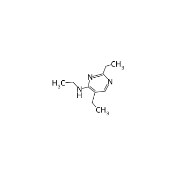 CCNc1nc(CC)ncc1CC